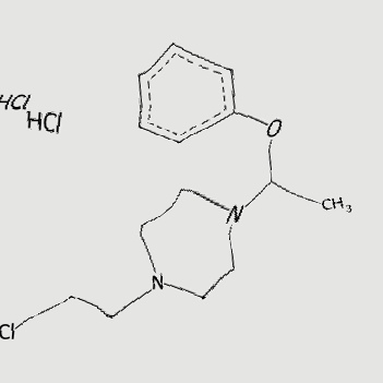 CC(Oc1ccccc1)N1CCN(CCCl)CC1.Cl.Cl